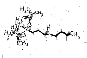 CCCCNCCC[Si](C)(O[Si](C)(C)C)O[Si](C)(C)C